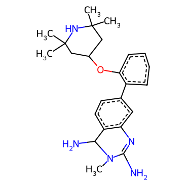 CN1C(N)=Nc2cc(-c3ccccc3OC3CC(C)(C)NC(C)(C)C3)ccc2C1N